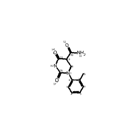 Cc1ccccc1N1CC(C(N)=O)C(=O)[N]C1=O